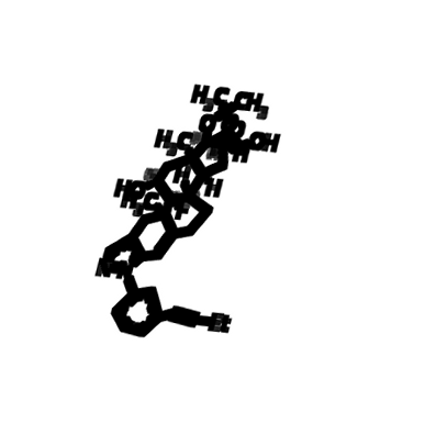 CCC#Cc1cccc(-n2ncc3c2C=C2CC[C@H]4[C@@H]5C[C@H]6OC(C)(C)O[C@@]6(C(=O)CO)[C@@]5(C)C[C@H](O)[C@]4(F)[C@@]2(C)C3)c1